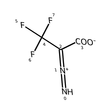 N=[N+]=C(C(=O)[O-])C(F)(F)F